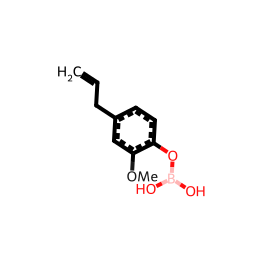 C=CCc1ccc(OB(O)O)c(OC)c1